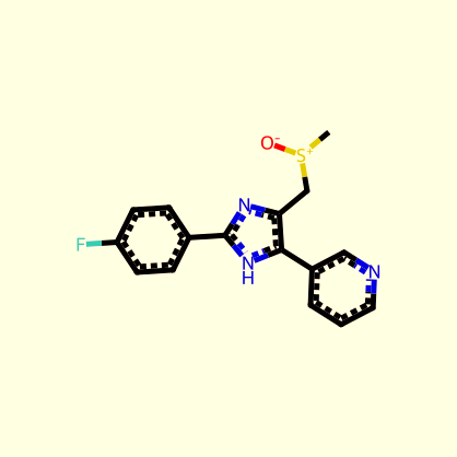 C[S+]([O-])Cc1nc(-c2ccc(F)cc2)[nH]c1-c1cccnc1